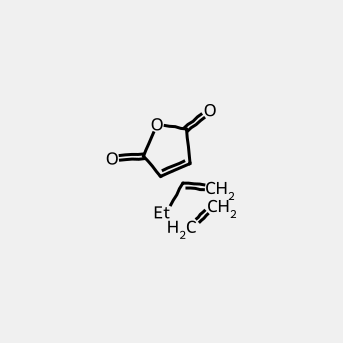 C=C.C=CCC.O=C1C=CC(=O)O1